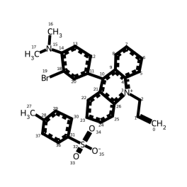 C=CC[n+]1c2ccccc2c(-c2ccc(N(C)C)c(Br)c2)c2ccccc21.Cc1ccc(S(=O)(=O)[O-])cc1